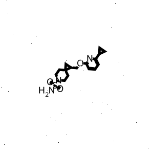 NS(=O)(=O)N1CCC2(CC1)CC2COc1cccc(C2CC2)n1